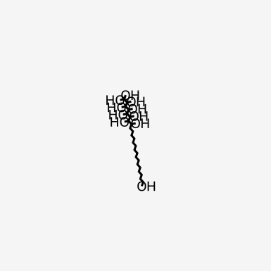 OCCCCCCCCCCCCCCCCC(O)C(O)C(O)C(O)C(O)C(O)C(O)C(O)O